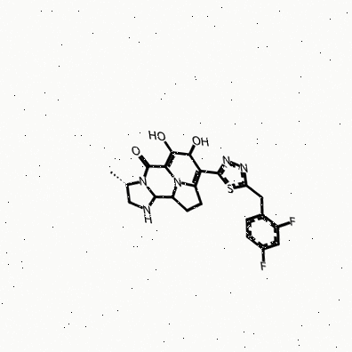 C[C@H]1CNC2C3CCC4=C(c5nnc(Cc6ccc(F)cc6F)s5)C(O)C(O)=C(C(=O)N21)N43